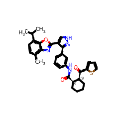 Cc1ccc(C(C)C)c2oc(-c3c[nH]nc3-c3cccc(NC(=O)[C@@H]4CCCC[C@@H]4C(=O)c4cccs4)c3)nc12